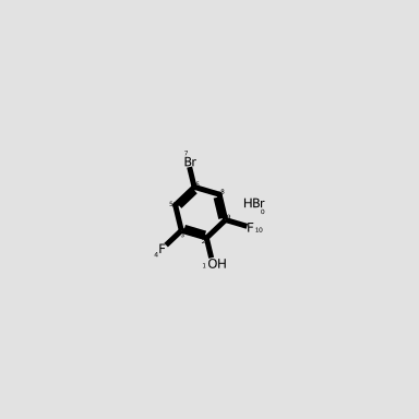 Br.Oc1c(F)cc(Br)cc1F